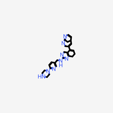 C1=CC2C=C(C3=CCCc4nc(NCc5ccc(N6CCNCC6)nc5)ncc43)C=NC(=N1)C2